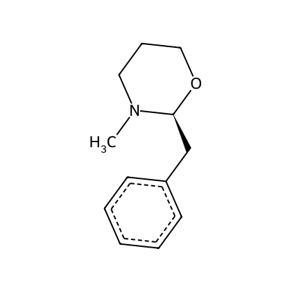 CN1CCCO[C@H]1Cc1ccccc1